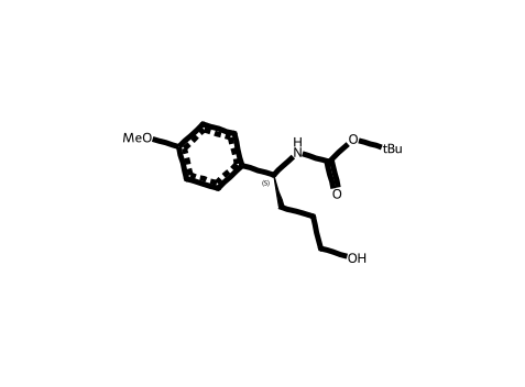 COc1ccc([C@H](CCCO)NC(=O)OC(C)(C)C)cc1